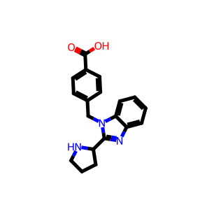 O=C(O)c1ccc(Cn2c(C3CCCN3)nc3ccccc32)cc1